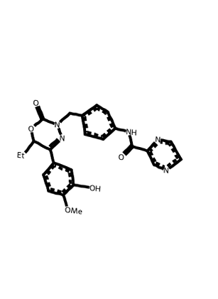 CCC1OC(=O)N(Cc2ccc(NC(=O)c3cnccn3)cc2)N=C1c1ccc(OC)c(O)c1